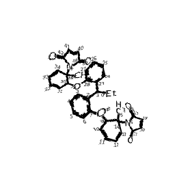 CCC(c1ccccc1OC1C=CC=CC1(C)N1C(=O)C=CC1=O)c1ccccc1OC1C=CC=CC1(C)N1C(=O)C=CC1=O